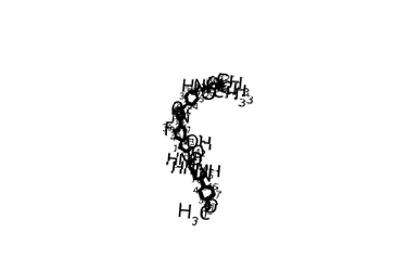 COc1ccc(-c2cc(NC(=O)NC(Cc3ccc(-c4noc(-c5ccc(NC(=O)OC(C)(C)C)cc5)n4)c(F)c3)C(=O)O)[nH]n2)cc1